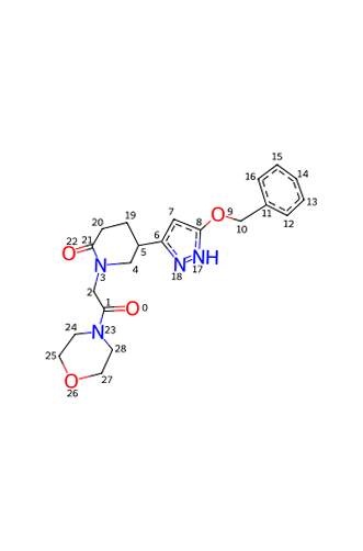 O=C(CN1CC(c2cc(OCc3ccccc3)[nH]n2)CCC1=O)N1CCOCC1